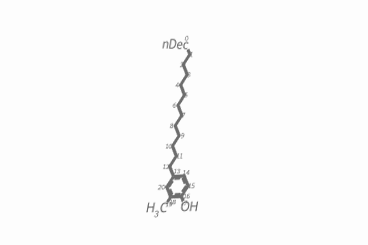 CCCCCCCCCCCCCCCCCCCCCCc1ccc(O)c(C)c1